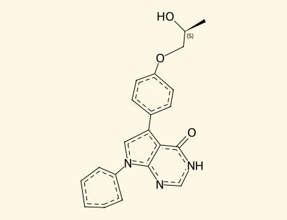 C[C@H](O)COc1ccc(-c2cn(-c3ccccc3)c3nc[nH]c(=O)c23)cc1